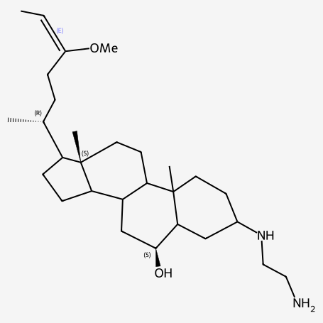 C/C=C(\CC[C@@H](C)C1CCC2C3C[C@H](O)C4CC(NCCN)CCC4(C)C3CC[C@]21C)OC